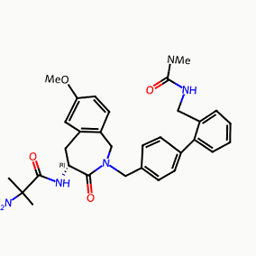 CNC(=O)NCc1ccccc1-c1ccc(CN2Cc3ccc(OC)cc3C[C@@H](NC(=O)C(C)(C)N)C2=O)cc1